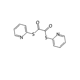 O=C(Sc1ccccn1)C(=O)Sc1ccccn1